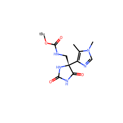 Cc1c([C@@]2(CNC(=O)OC(C)(C)C)NC(=O)NC2=O)ncn1C